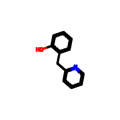 Oc1ccccc1Cc1ccccn1